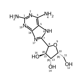 Nc1nc(N)c2[nH]c(C3O[C@H](CO)[C@H](O)[C@H]3O)nc2n1